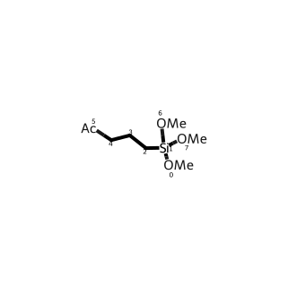 CO[Si](CCCC(C)=O)(OC)OC